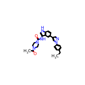 CCc1ccc(-n2cc(-c3ccc4[nH]cc(NC(=O)N5CCN(C(C)=O)CC5)c4c3)cn2)cc1